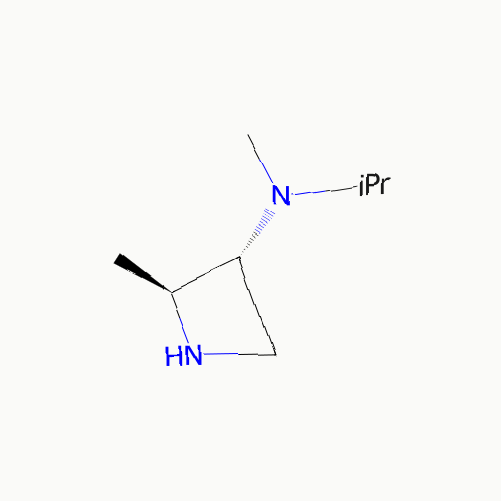 CC(C)N(C)[C@@H]1CN[C@H]1C